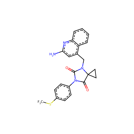 Nc1cc(CN2C(=O)N(c3ccc(SC(F)(F)F)cc3)C(=O)C23CC3)c2ccccc2n1